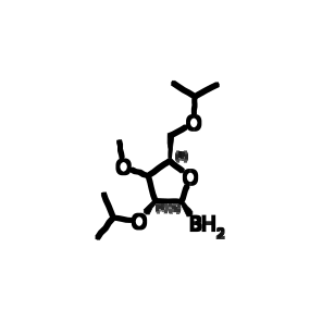 B[C@@H]1O[C@H](COC(C)C)C(OC)[C@@H]1OC(C)C